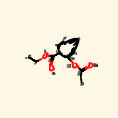 [CH2]COC(=O)c1ccccc1OC(C)=O